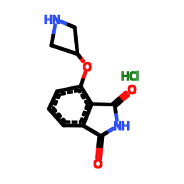 Cl.O=C1NC(=O)c2c(OC3CNC3)cccc21